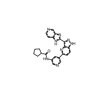 O=C(Nc1cncc(-c2ccc3[nH]nc(-c4nc5cnccc5[nH]4)c3n2)c1)C1CCCC1